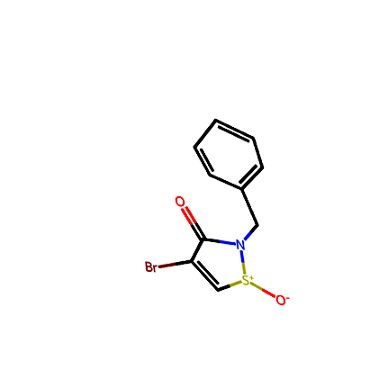 O=c1c(Br)c[s+]([O-])n1Cc1ccccc1